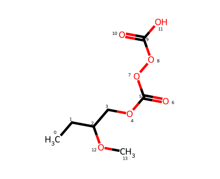 CCC(COC(=O)OOC(=O)O)OC